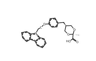 C[C@]1(C(=O)O)OC[C@@H](Cc2ccc(OCCn3c4ccccc4c4ccccc43)cc2)CO1